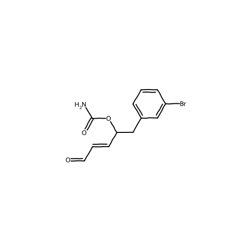 NC(=O)OC(C=CC=O)Cc1cccc(Br)c1